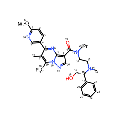 COc1ccc(-c2nc3c(C(=O)N(CCN(C)[C@@H](CO)c4ccccc4)C(C)C)cnn3c(C(F)(F)F)c2C)cn1